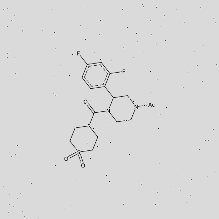 CC(=O)N1CCN(C(=O)C2CCS(=O)(=O)CC2)C(c2ccc(F)cc2F)C1